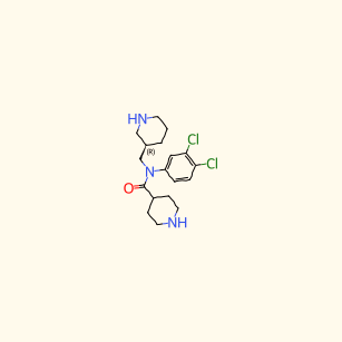 O=C(C1CCNCC1)N(C[C@@H]1CCCNC1)c1ccc(Cl)c(Cl)c1